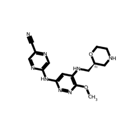 COc1nnc(Nc2cnc(C#N)cn2)cc1NC[C@@H]1CNCCO1